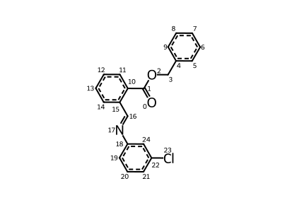 O=C(OCc1ccccc1)c1ccccc1C=Nc1cccc(Cl)c1